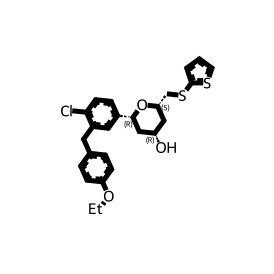 CCOc1ccc(Cc2cc([C@H]3C[C@@H](O)C[C@@H](CSc4cccs4)O3)ccc2Cl)cc1